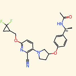 CC(=O)N[C@@H](C)c1ccc(OC2CCN(c3ccc(OCC4CC4(F)F)nc3C#N)C2)cc1